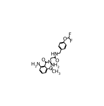 COc1cccc(N)c1C(=O)N(N)CC(=O)NCc1ccc(OC(F)F)cc1